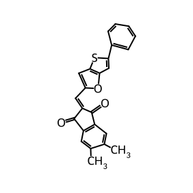 Cc1cc2c(cc1C)C(=O)C(=Cc1cc3sc(-c4ccccc4)cc3o1)C2=O